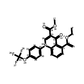 C=C(OCC)c1cccc2c1c(=O)c(C(=O)OC)cn2-c1ccc(OC(F)(F)F)cc1